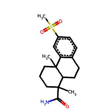 CC1(C(N)=O)CCCC2(C)c3cc(S(C)(=O)=O)ccc3CCC12